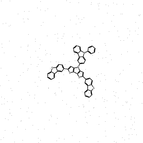 c1ccc(-n2c3ccccc3c3cc(-n4c5cc(-c6ccc7sc8ccccc8c7c6)sc5c5sc(-c6ccc7sc8ccccc8c7c6)cc54)ccc32)cc1